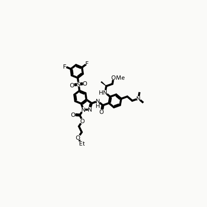 CCOCCOC(=O)n1nc(NC(=O)c2ccc(CCN(C)C)cc2N[C@@H](C)COC)c2cc(S(=O)(=O)c3cc(F)cc(F)c3)ccc21